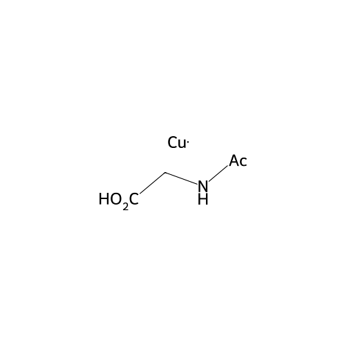 CC(=O)NCC(=O)O.[Cu]